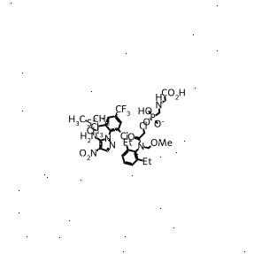 CCc1cccc(CC)c1N(COC)C(=O)CCl.C[S+](C)C.Nc1c([N+](=O)[O-])cnn1-c1c(Cl)cc(C(F)(F)F)cc1Cl.O=C(O)CNCP(=O)([O-])O